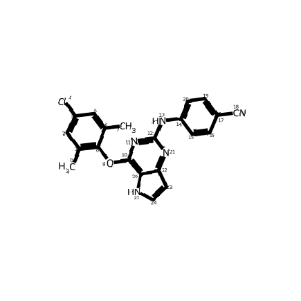 Cc1cc(Cl)cc(C)c1Oc1nc(Nc2ccc(C#N)cc2)nc2cc[nH]c12